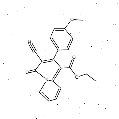 CCOC(=O)c1c(-c2ccc(OC)cc2)c(C#N)c(=O)n2ccccc12